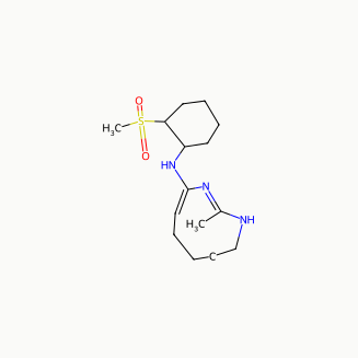 C/C1=N\C(NC2CCCCC2S(C)(=O)=O)=C/CCCCN1